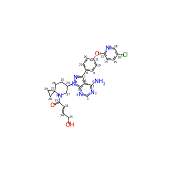 Nc1ncnc2c1c(-c1ccc(Oc3ccc(Cl)cn3)cc1)nn2[C@@H]1CCC2(CC2)N(C(=O)/C=C/CO)C1